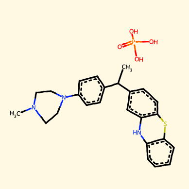 CC(c1ccc(N2CCN(C)CC2)cc1)c1ccc2c(c1)Nc1ccccc1S2.O=P(O)(O)O